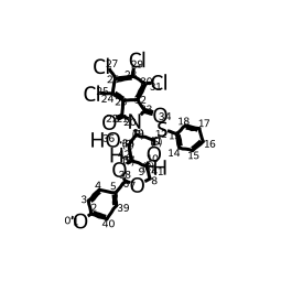 COc1ccc(C2OC[C@H]3O[C@@H](Sc4ccccc4)[C@H](N4C(=O)c5c(Cl)c(Cl)c(Cl)c(Cl)c5C4=O)[C@@H](O)[C@@H]3O2)cc1